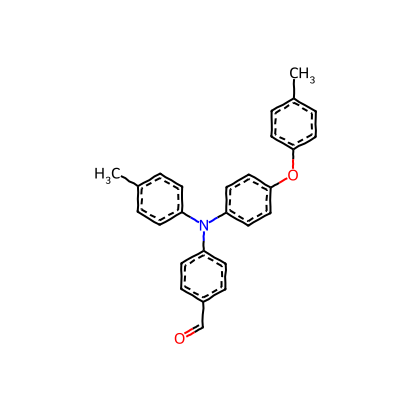 Cc1ccc(Oc2ccc(N(c3ccc(C)cc3)c3ccc(C=O)cc3)cc2)cc1